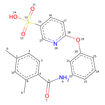 Cc1ccc(C(N)=O)c(C)c1.O=S(=O)(O)c1ccc(Oc2ccccc2)nc1